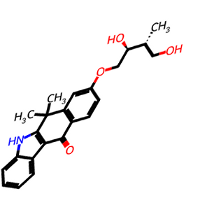 C[C@H](CO)[C@H](O)COc1ccc2c(c1)C(C)(C)c1[nH]c3ccccc3c1C2=O